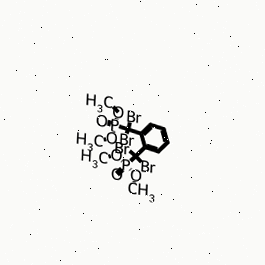 COP(=O)(OC)C(Br)(Br)c1ccccc1C(Br)(Br)P(=O)(OC)OC